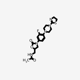 CC(=O)NCC1CN(c2ccc(N3CCN(C4=NCCS4)CC3)c(F)c2)C(=O)O1